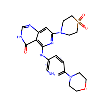 C=C(/C=C\C(=C/N)Nc1nc(N2CCS(=O)(=O)CC2)cc2nc[nH]c(=O)c12)N1CCOCC1